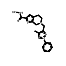 Cc1nn(-c2ccccc2)nc1CN1CCc2cc(C(=O)NO)sc2C1